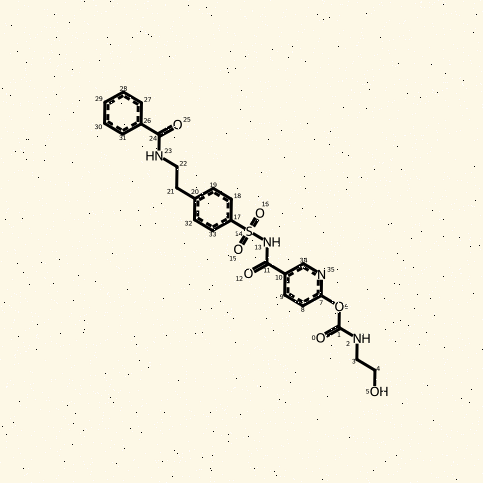 O=C(NCCO)Oc1ccc(C(=O)NS(=O)(=O)c2ccc(CCNC(=O)c3ccccc3)cc2)cn1